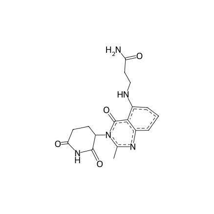 Cc1nc2cccc(NCCC(N)=O)c2c(=O)n1C1CCC(=O)NC1=O